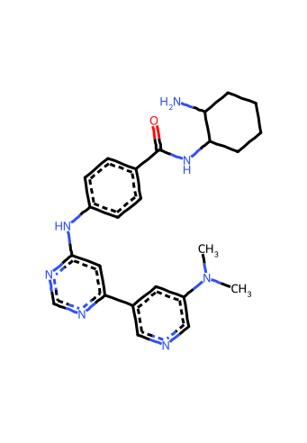 CN(C)c1cncc(-c2cc(Nc3ccc(C(=O)NC4CCCCC4N)cc3)ncn2)c1